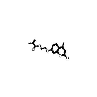 C=C(C)C(=O)OCCOc1ccc2c(C)cc(=O)oc2c1